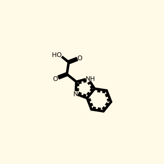 O=C(O)C(=O)c1nc2ccccc2[nH]1